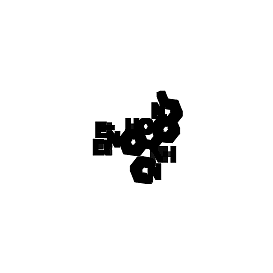 CCN(CC)c1ccc(C(Nc2ccccn2)c2ccc3ccc(C)nc3c2O)cc1